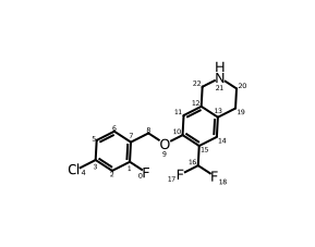 Fc1cc(Cl)ccc1COc1cc2c(cc1C(F)F)CCNC2